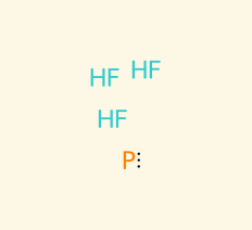 F.F.F.[P]